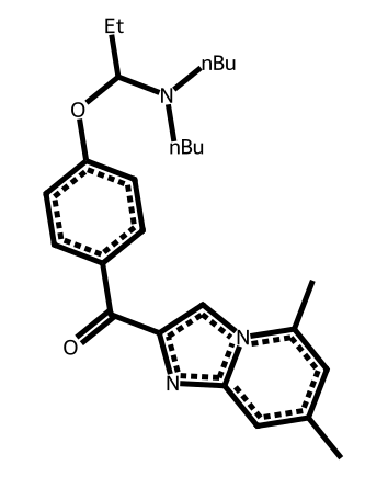 CCCCN(CCCC)C(CC)Oc1ccc(C(=O)c2cn3c(C)cc(C)cc3n2)cc1